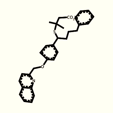 CC(C)(CC(=O)O)SC(CCCc1ccccc1)c1ccc(OCc2ccc3ccccc3n2)cc1